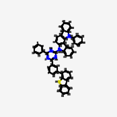 c1ccc(-c2nc(-c3cccc(-c4cccc5c4sc4ccccc45)c3)nc(-n3c4ccccc4c4c3ccc3c5ccccc5n(-c5ccccc5)c34)n2)cc1